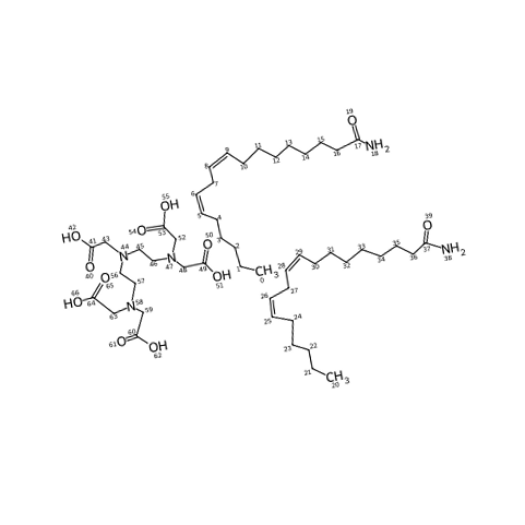 CCCCC/C=C\C/C=C\CCCCCCCC(N)=O.CCCCC/C=C\C/C=C\CCCCCCCC(N)=O.O=C(O)CN(CCN(CC(=O)O)CC(=O)O)CCN(CC(=O)O)CC(=O)O